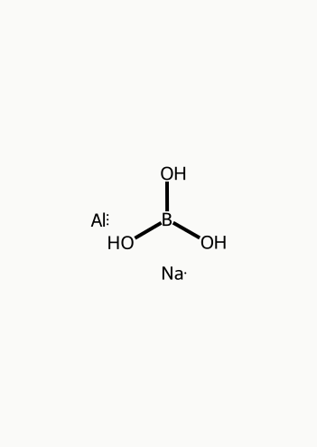 OB(O)O.[Al].[Na]